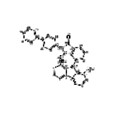 CC(C)(C)c1cccc2c3cccc(C(C)(C)C)c3n(-c3cccc4c3C(=O)N(c3ccc(-c5ccccc5)cc3)C4=O)c12